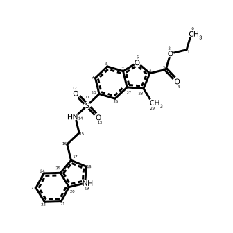 CCOC(=O)c1oc2ccc(S(=O)(=O)NCCc3c[nH]c4ccccc34)cc2c1C